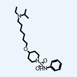 CCN(CCCCCCOC1CCN(S(=O)(=O)Nc2ccccc2)CC1)C(C)C